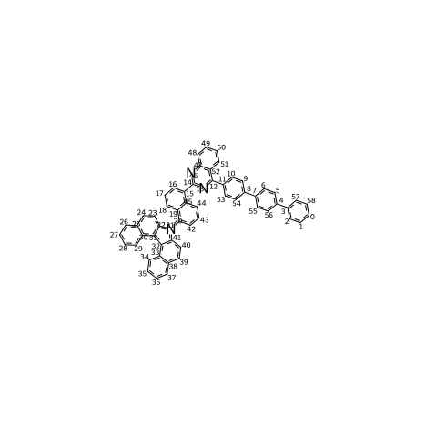 c1ccc(-c2ccc(-c3ccc(-c4nc(-c5cccc6c(-n7c8ccc9ccccc9c8c8c9ccccc9ccc87)cccc56)nc5ccccc45)cc3)cc2)cc1